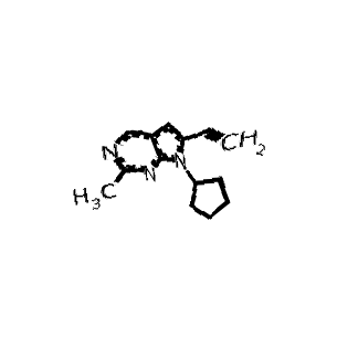 C=Cc1cc2cnc(C)nc2n1C1CCCC1